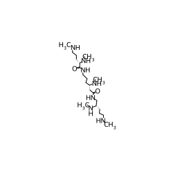 CNCCC[C@@H](CNC(=O)C[C@H](CCCNC(=O)[C@H](CCCNC)NC)NC)NC